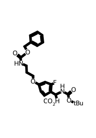 CC(C)(C)OC(=O)NC(C(=O)O)c1ccc(OCCCNC(=O)OCc2ccccc2)cc1F